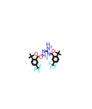 CC(C)(C)c1ccc(C(F)(F)F)cc1C(=O)N=C(N)N.COC(=O)c1cc(C(F)(F)F)ccc1C(C)(C)C